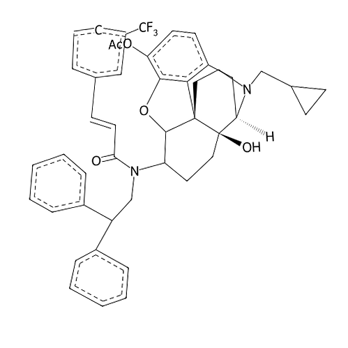 CC(=O)Oc1ccc2c3c1OC1C(N(CC(c4ccccc4)c4ccccc4)C(=O)/C=C/c4cccc(C(F)(F)F)c4)CC[C@@]4(O)[C@@H](C2)N(CC2CC2)CC[C@]314